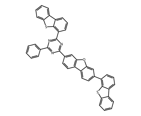 c1ccc(-c2nc(-c3ccc4c(c3)oc3cc(-c5cccc6c5sc5ccccc56)ccc34)nc(-c3cccc4c3sc3ccccc34)n2)cc1